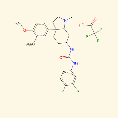 CCCOc1ccc(C23CCC(NC(=O)Nc4ccc(F)c(F)c4)CC2N(C)CC3)cc1OC.O=C(O)C(F)(F)F